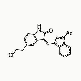 CC(=O)n1cc(C=C2C(=O)Nc3ccc(CCCl)cc32)c2ccccc21